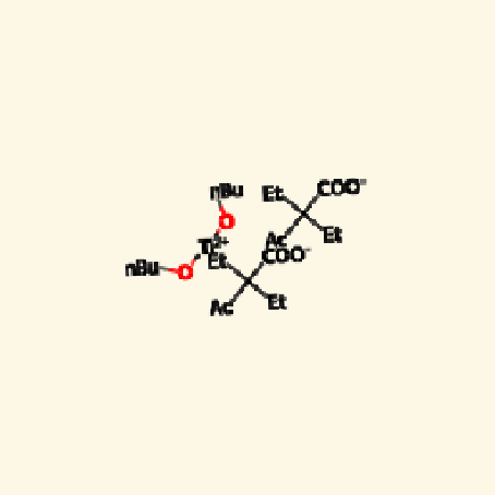 CCC(CC)(C(C)=O)C(=O)[O-].CCC(CC)(C(C)=O)C(=O)[O-].CCCC[O][Ti+2][O]CCCC